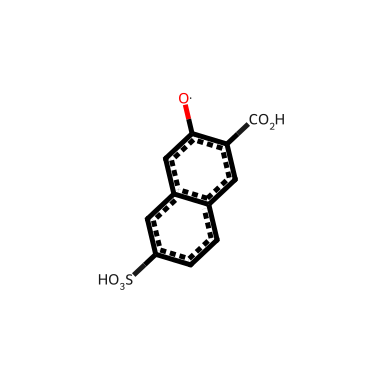 [O]c1cc2cc(S(=O)(=O)O)ccc2cc1C(=O)O